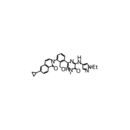 CCn1cc(Nc2nc(-c3cccc(-n4ccc5cc(C6CC6)ccc5c4=O)c3CO)cn(C)c2=O)cn1